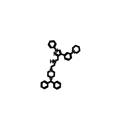 c1ccc(C(c2ccccc2)N2CCN(CCNCc3nn(-c4ccccc4)cc3-c3cccc(N4CCCCC4)c3)CC2)cc1